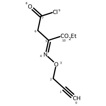 C#CCO/N=C(/CC(=O)Cl)C(=O)OCC